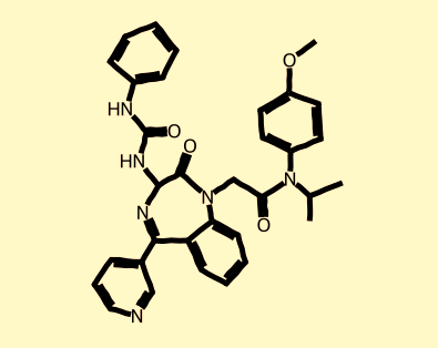 COc1ccc(N(C(=O)CN2C(=O)C(NC(=O)Nc3ccccc3)N=C(c3cccnc3)c3ccccc32)C(C)C)cc1